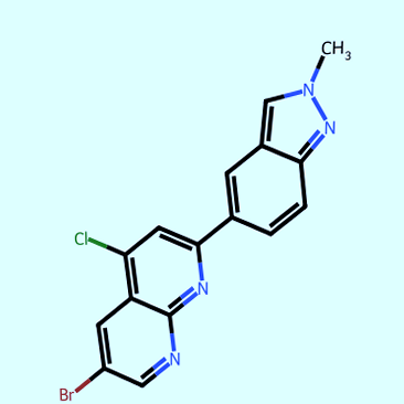 Cn1cc2cc(-c3cc(Cl)c4cc(Br)cnc4n3)ccc2n1